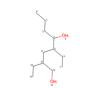 CCCC(O)C(CC)CC(CC)CO